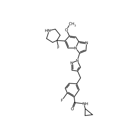 COc1cc2ncc(-n3cc(Cc4ccc(F)c(C(=O)NC5CC5)c4)cn3)n2cc1C1(F)CCNCC1